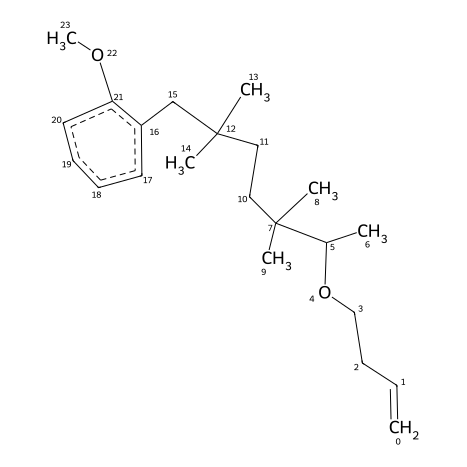 C=CCCOC(C)C(C)(C)CCC(C)(C)Cc1ccccc1OC